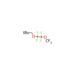 CC(C)(C)COC(F)(F)C(F)(F)OC(F)(F)F